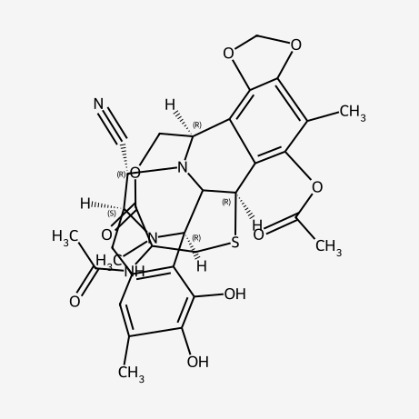 CC(=O)NC1CS[C@@H]2c3c(OC(C)=O)c(C)c4c(c3[C@H](COC1=O)N1C2[C@H]2c3c(cc(C)c(O)c3O)C[C@@H]([C@@H]1C#N)N2C)OCO4